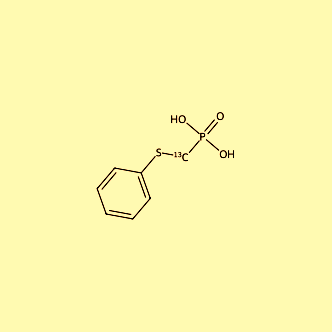 O=P(O)(O)[13CH2]Sc1ccccc1